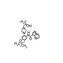 C[C@H](O)CN1CCN(c2cc3c(cc2NC(=O)c2cnn4cccnc24)CC(C)(C)O3)CC1